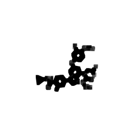 COc1ccc(Oc2cc(N(CC(F)F)C(=O)OC(C)(C)C)c3ncc(-c4ccc(C(=O)NC5CC5)c(C)c4)n3c2)cc1F